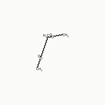 CCCCCCCCOC(=O)CCCCCCCCCCCCCCC(C)CC(=O)OCCCCCCCC